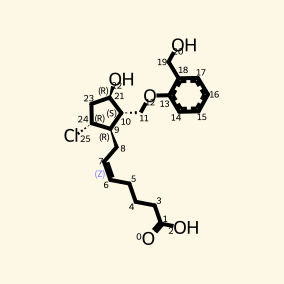 O=C(O)CCC/C=C\C[C@@H]1[C@@H](COc2ccccc2CO)[C@H](O)C[C@H]1Cl